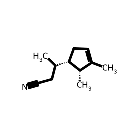 CC1=CC[C@@H](C(C)CC#N)[C@H]1C